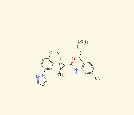 CC1C(C(=O)Nc2cc(C#N)ccc2CCCC(=O)O)[C@@]12CCOc1ccc(-n3cccn3)cc12